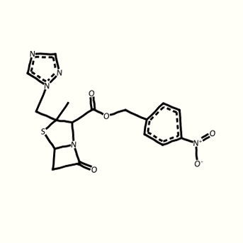 CC1(Cn2cncn2)SC2CC(=O)N2C1C(=O)OCc1ccc([N+](=O)[O-])cc1